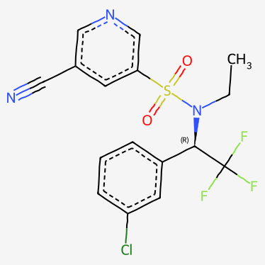 CCN([C@H](c1cccc(Cl)c1)C(F)(F)F)S(=O)(=O)c1cncc(C#N)c1